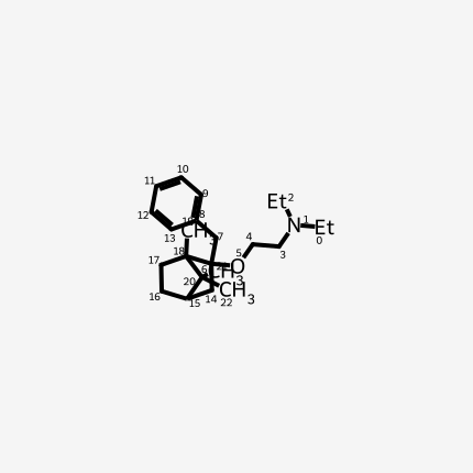 CCN(CC)CCOC1(Cc2ccccc2)CC2CCC1(C)C2(C)C